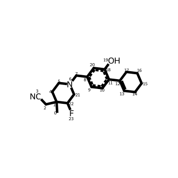 CC1(CC#N)CCN(Cc2ccc(C3=CCCCC3)c(O)c2)CC1F